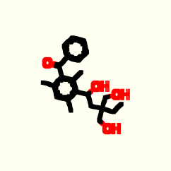 CCC(CO)(CO)CC(O)c1c(C)cc(C)c(C(=O)c2ccccc2)c1C